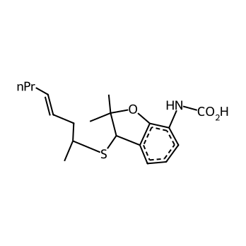 CCCC=CCC(C)SC1c2cccc(NC(=O)O)c2OC1(C)C